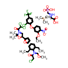 CC1(C)OC(c2ccco2)CN1C(=O)C(Cl)Cl.CCOc1cc(Oc2ccc(C(F)(F)F)cc2Cl)ccc1[N+](=O)[O-].CCc1cccc(CC)c1N(COC)C(=O)CCl.C[S+](C)C.O=C(O)CNCP(=O)([O-])O